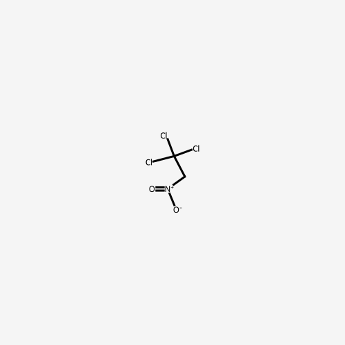 O=[N+]([O-])CC(Cl)(Cl)Cl